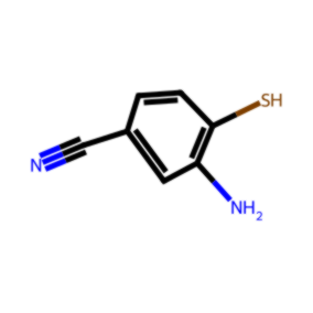 N#Cc1ccc(S)c(N)c1